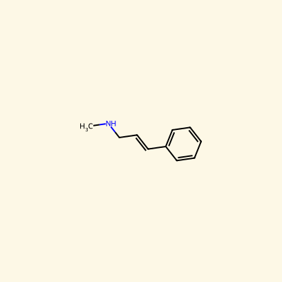 CNCC=Cc1ccccc1